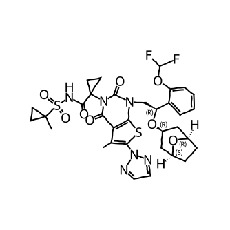 Cc1c(-n2nccn2)sc2c1c(=O)n(C1(C(=O)NS(=O)(=O)C3(C)CC3)CC1)c(=O)n2C[C@H](O[C@H]1C[C@H]2CC[C@@H](C1)O2)c1ccccc1OC(F)F